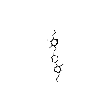 CCCc1ccc(OCC2C=CC(c3ccc(OCC)c(F)c3F)CC2)c(F)c1F